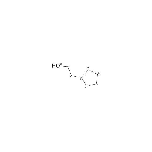 OC[CH]C1CCCC1